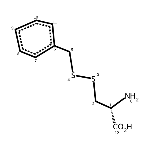 N[C@@H](CSSCc1ccccc1)C(=O)O